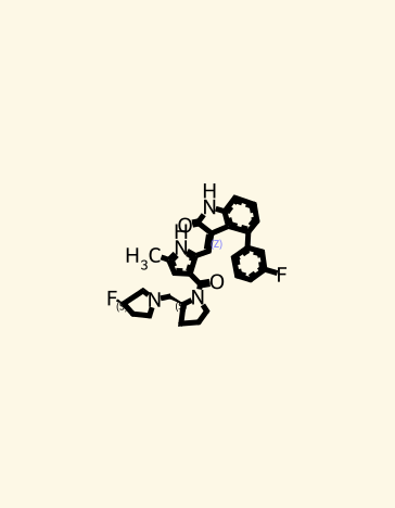 Cc1cc(C(=O)N2CCC[C@H]2CN2CC[C@H](F)C2)c(/C=C2\C(=O)Nc3cccc(-c4cccc(F)c4)c32)[nH]1